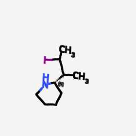 CC(I)C(C)[C@@H]1CCCCN1